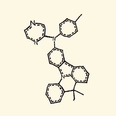 Cc1ccc(N(c2ccc3c(c2)c2cccc4c2n3-c2ccccc2C4(C)C)c2cnccn2)cc1